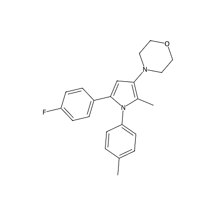 Cc1ccc(-n2c(-c3ccc(F)cc3)cc(N3CCOCC3)c2C)cc1